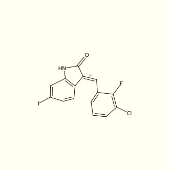 O=C1Nc2cc(I)ccc2/C1=C\c1cccc(Cl)c1F